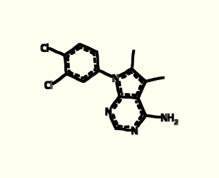 Cc1c(C)n(-c2ccc(Cl)c(Cl)c2)c2ncnc(N)c12